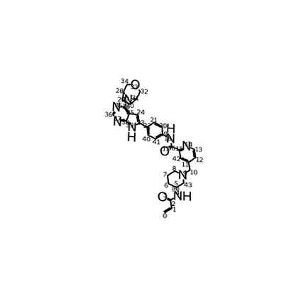 C=CC(=O)N[C@@H]1CCCN(Cc2ccnc(C(=O)Nc3ccc(-c4cc5c(N6C7CCC6COC7)ncnc5[nH]4)cc3)c2)C1